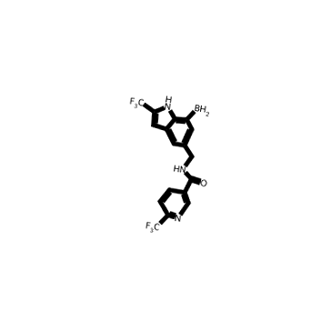 Bc1cc(CNC(=O)c2ccc(C(F)(F)F)nc2)cc2cc(C(F)(F)F)[nH]c12